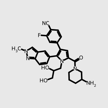 Cn1cc2cc(-c3c(-c4ccc(C#N)c(F)c4)cc(C(=O)N4CCCC(N)C4)n3CC(O)CO)ccc2n1